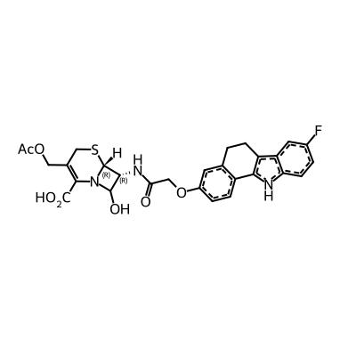 CC(=O)OCC1=C(C(=O)O)N2C(O)[C@@H](NC(=O)COc3ccc4c(c3)CCc3c-4[nH]c4ccc(F)cc34)[C@H]2SC1